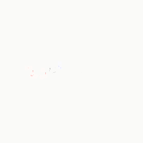 CCCCCCCCCCCCCCCCNc1ccc(C(=O)OC(CC(=O)O)C(=O)O)cc1F